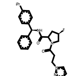 CC(C)c1ccc([C@@H](NC(=O)C2C[C@@H](F)CN2C(=O)CCn2ccnn2)c2ccccc2)cc1